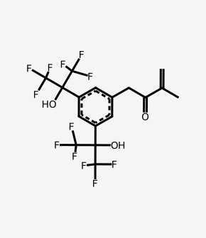 C=C(C)C(=O)Cc1cc(C(O)(C(F)(F)F)C(F)(F)F)cc(C(O)(C(F)(F)F)C(F)(F)F)c1